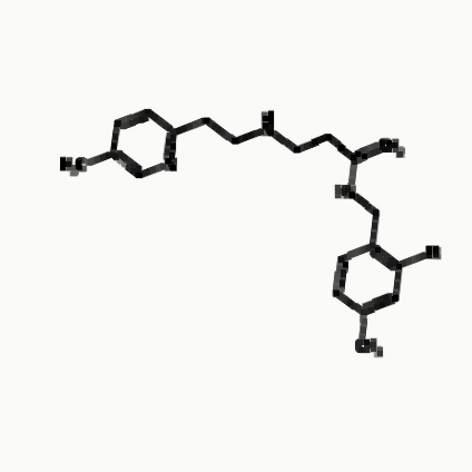 C=C(CCNCCc1ccc(C)cn1)NCc1ccc(C)cc1CC